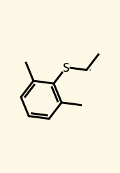 C[CH]Sc1c(C)cccc1C